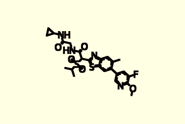 COc1ncc(-c2cc3sc(C(C(=O)NCC(=O)NC4CC4)S(=O)(=O)C(C)C)nc3cc2C)cc1F